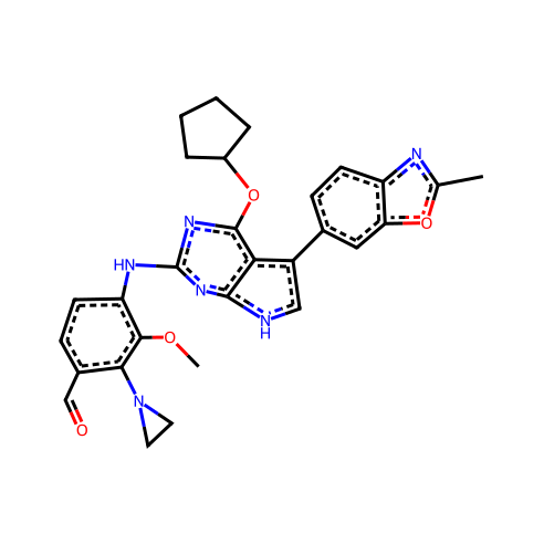 COc1c(Nc2nc(OC3CCCC3)c3c(-c4ccc5nc(C)oc5c4)c[nH]c3n2)ccc(C=O)c1N1CC1